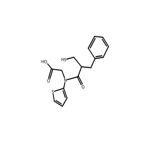 O=C(O)CN(C(=O)C(CS)Cc1ccccc1)c1cccs1